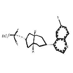 CCOC(=O)C(F)(F)[C@H]1C[C@H]2C[C@@H](c3ccnc4ccc(F)cc34)C[C@H]2C1